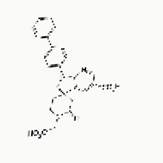 O=C(O)CN1CCC2(CC1=O)CN(c1ccc(-c3ccccc3)cc1)c1ncc(C(=O)O)cc12